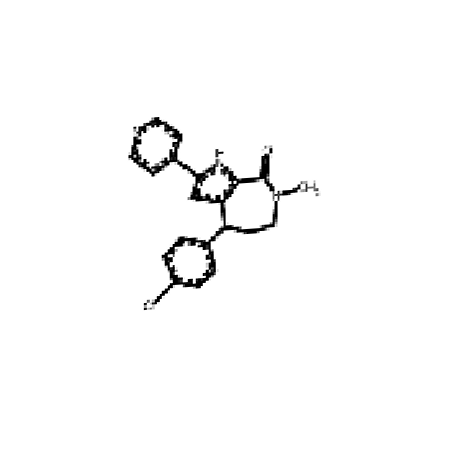 CN1CCC(c2ccc(Cl)cc2)c2cc(-c3ccncc3)[nH]c2C1=O